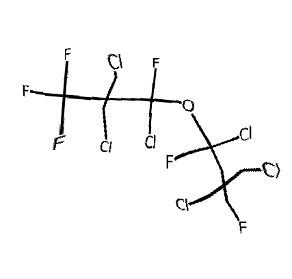 FC(F)(F)C(Cl)(Cl)C(F)(Cl)OC(F)(Cl)C(F)(Cl)Cl